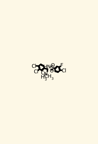 CN(C)CC(NS(=O)(=O)c1ccc(Cl)c(F)c1)c1ccc(Cl)c(Cl)c1